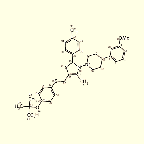 COc1cccc(N2CCN(N3C(C)=C(CSc4ccc(OC(C)(C)C(=O)O)cc4)SC3c3ccc(C(F)(F)F)cc3)CC2)c1